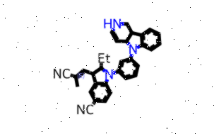 CCC1C(/C=C(\C)C#N)c2cc(C#N)ccc2N1c1cccc(N2c3ccccc3C3CNC=CC32)c1